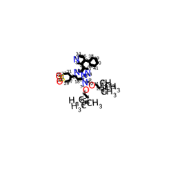 C[Si](C)(C)CCOCN(COCC[Si](C)(C)C)c1cc(C2CCS(=O)(=O)CC2)nc2c(-c3cnccc3-c3ccccc3)cnn12